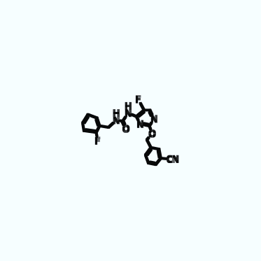 N#Cc1cccc(COc2ncc(F)c(NC(=O)NCc3ccccc3F)n2)c1